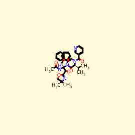 CC(=O)N[C@](Cc1ccccc1)(C(=O)C1=NC(C)(C)CO1)N1C(=O)[C@@H](C(C)C)N(C(=O)c2cccnc2)C=C1c1ccccc1